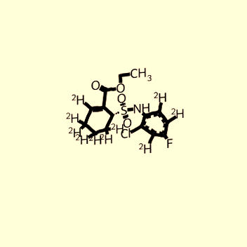 [2H]C1=C(C(=O)OCC)[C@H](S(=O)(=O)Nc2c([2H])c([2H])c(F)c([2H])c2Cl)C([2H])([2H])C([2H])([2H])C1([2H])[2H]